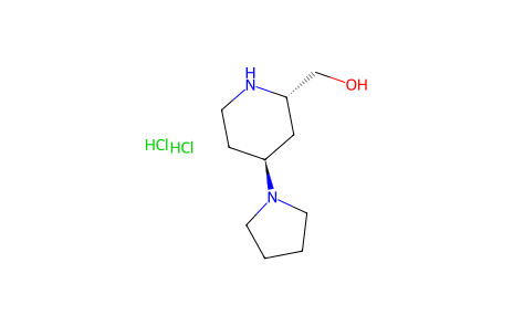 Cl.Cl.OC[C@@H]1C[C@@H](N2CCCC2)CCN1